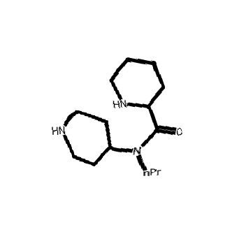 CCCN(C(=O)C1CCCCN1)C1CCNCC1